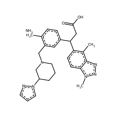 Cc1ccc(C(CC(=O)O)c2ccc3c(nnn3C)c2C)cc1CN1CCCC(n2cccn2)C1.N